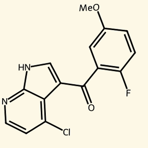 COc1ccc(F)c(C(=O)c2c[nH]c3nccc(Cl)c23)c1